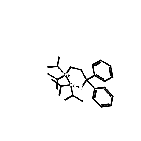 C[CH](C)[Ge]1([CH](C)C)[CH2]CC(c2ccccc2)(c2ccccc2)[O][Ge]1([CH](C)C)[CH](C)C